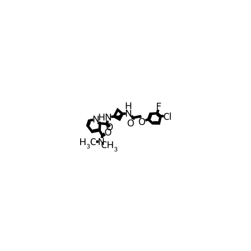 CN(C)C(=O)c1cccnc1C(=O)NC12CC(NC(=O)COc3ccc(Cl)c(F)c3)(C1)C2